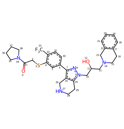 O=C(CSc1cc(-c2nn(CC(O)CN3CCc4ccccc4C3)c3c2CNCC3)ccc1C(F)(F)F)N1CCCC1